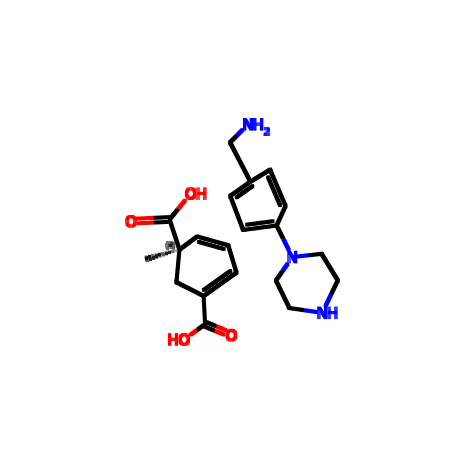 C[C@]1(C(=O)O)C=CC=C(C(=O)O)C1.NCc1ccc(N2CCNCC2)cc1